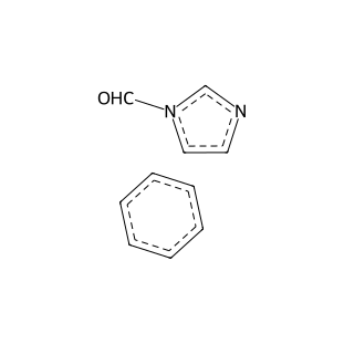 O=Cn1ccnc1.c1ccccc1